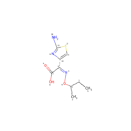 CCC(C)ON=C(C(=O)O)c1csc(N)n1